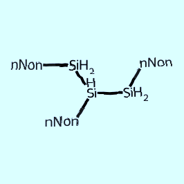 CCCCCCCCC[SiH2][SiH](CCCCCCCCC)[SiH2]CCCCCCCCC